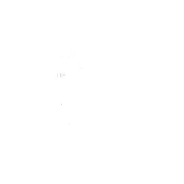 CCOC(=O)c1cc(Oc2ccccc2)cc2c1NCC1c3ccccc3CC21